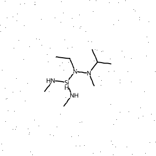 CCN(N(C)C(C)C)[SiH](NC)NC